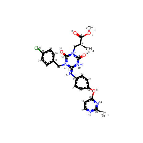 COC(=O)[C@@H](C)Cn1c(=O)[nH]/c(=N\c2ccc(Oc3ccnc(C)n3)cc2)n(Cc2ccc(Cl)cc2)c1=O